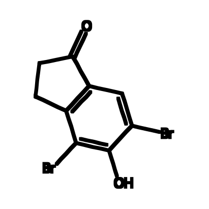 O=C1CCc2c1cc(Br)c(O)c2Br